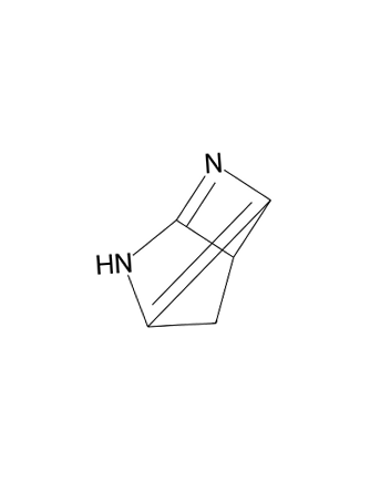 C1c2[nH]c3nc2C13